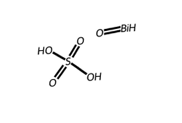 O=S(=O)(O)O.[O]=[BiH]